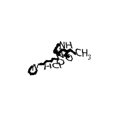 CCCC1C(=O)N(C(=O)CCCCCN2CCCCC2)C2CCNC12.Cl